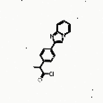 CC(C(=O)Cl)c1ccc(-c2cn3ccccc3n2)cc1